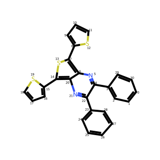 c1ccc(-c2nc3c(-c4cccs4)sc(-c4cccs4)c3nc2-c2ccccc2)cc1